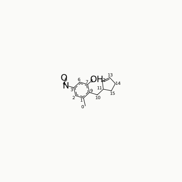 Cc1cc(N=O)cc(O)c1CC1C=CCC1